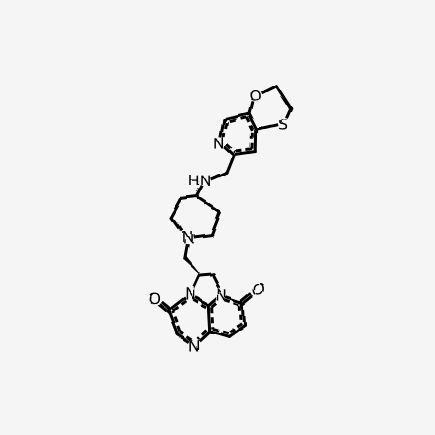 O=c1ccc2ncc(=O)n3c2n1C[C@@H]3CN1CCC(NCc2cc3c(cn2)OCCS3)CC1